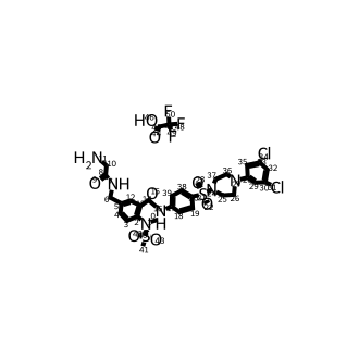 CN(c1ccc(CNC(=O)CN)cc1C(=O)Nc1ccc(S(=O)(=O)N2CCN(c3cc(Cl)cc(Cl)c3)CC2)cc1)S(C)(=O)=O.O=C(O)C(F)(F)F